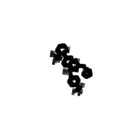 FC(F)(F)c1ccc(Nc2nc(CN3CCCC3)nc3cc(-c4ncccc4C(F)(F)F)ccc23)cc1